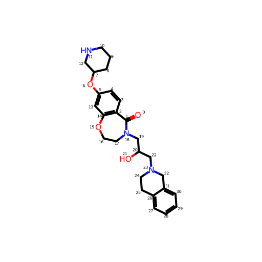 O=C1c2ccc(OC3CCCNC3)cc2OCCN1CC(O)CN1CCc2ccccc2C1